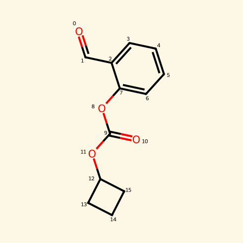 O=Cc1ccccc1OC(=O)OC1CCC1